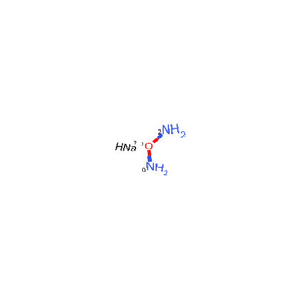 NON.[NaH]